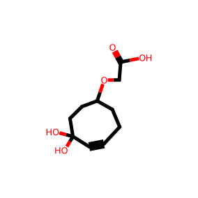 O=C(O)COC1CCC#CC(O)(O)CC1